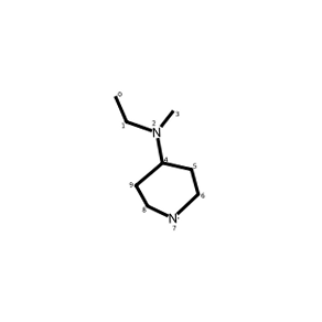 CCN(C)C1CC[N]CC1